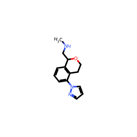 CNCC1OCCc2c1cccc2-n1cccn1